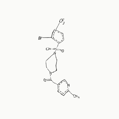 Cc1ccc(C(=O)N2CCN(S(=O)(=O)c3ccc(C(F)(F)F)cc3Br)CC2)cn1